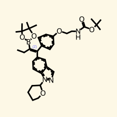 CC/C(B1OC(C)(C)C(C)(C)O1)=C(/c1ccc(OCCNC(=O)OC(C)(C)C)cc1)c1ccc2c(cnn2C2CCCCO2)c1